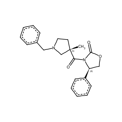 C[C@]1(C(=O)N2C(=O)OC[C@H]2c2ccccc2)CCN(Cc2ccccc2)C1